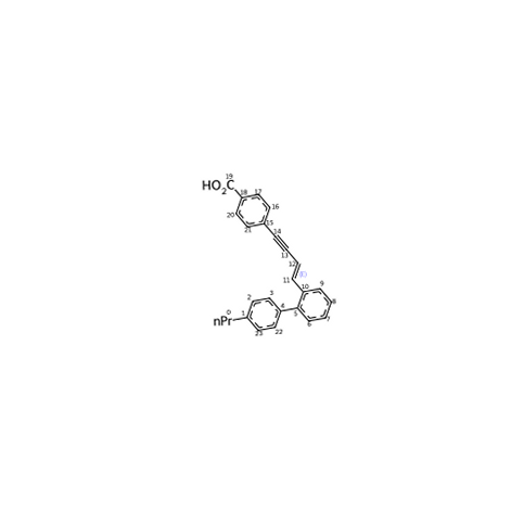 CCCc1ccc(-c2ccccc2/C=C/C#Cc2ccc(C(=O)O)cc2)cc1